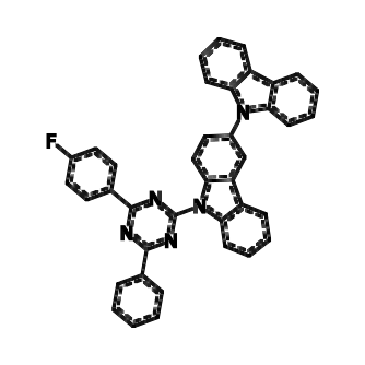 Fc1ccc(-c2nc(-c3ccccc3)nc(-n3c4ccccc4c4cc(-n5c6ccccc6c6ccccc65)ccc43)n2)cc1